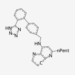 CCCCCc1cc(NCc2ccc(-c3ccccc3-c3nnn[nH]3)cc2)c2ncccc2n1